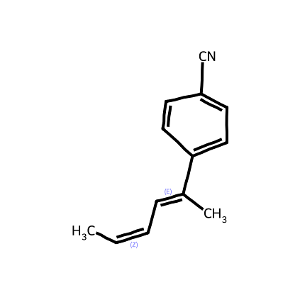 C/C=C\C=C(/C)c1ccc(C#N)cc1